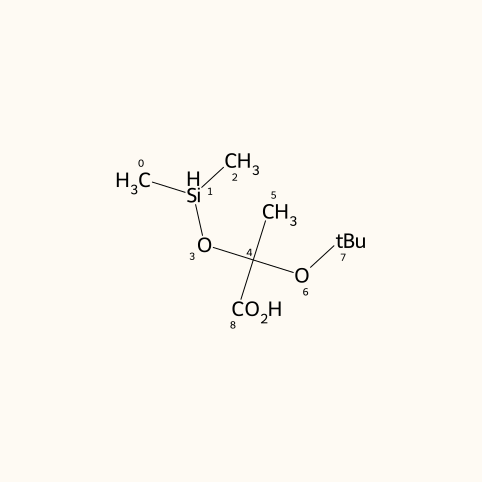 C[SiH](C)OC(C)(OC(C)(C)C)C(=O)O